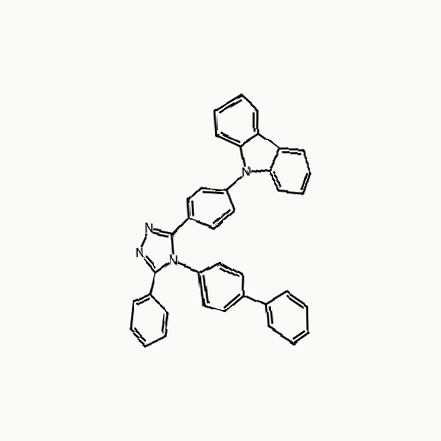 c1ccc(-c2ccc(-n3c(-c4ccccc4)nnc3-c3ccc(-n4c5ccccc5c5ccccc54)cc3)cc2)cc1